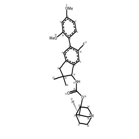 COc1ccc(-c2cc3c(cc2F)C(NC(=O)O[C@H]2CN4CCC2CC4)C(C)(C)C3)c(OC)c1